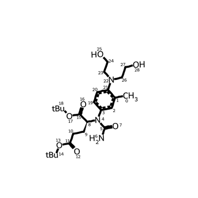 Cc1cc(N(C(N)=O)[C@@H](CCC(=O)OC(C)(C)C)C(=O)OC(C)(C)C)ccc1N(CCO)CCO